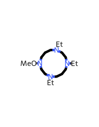 CCN1CCCN(CC)CCN(OC)CCCN(CC)CC1